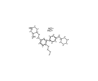 CCCCc1nnc(OCC2CCNCC2O)cc1-c1ccc(OC2CCCCC2)cc1.Cl.Cl